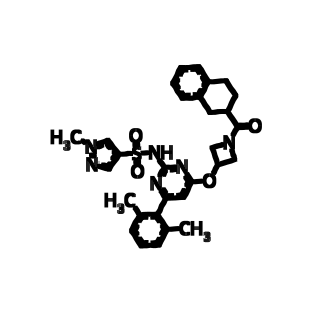 Cc1cccc(C)c1-c1cc(OC2CN(C(=O)C3CCc4ccccc4C3)C2)nc(NS(=O)(=O)c2cnn(C)c2)n1